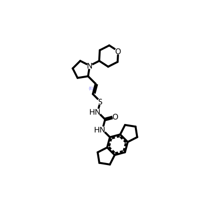 O=C(NS/C=C/C1CCCN1C1CCOCC1)Nc1c2c(cc3c1CCC3)CCC2